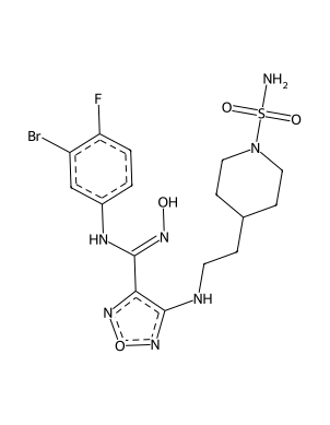 NS(=O)(=O)N1CCC(CCNc2nonc2C(=NO)Nc2ccc(F)c(Br)c2)CC1